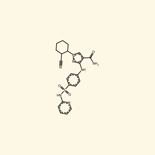 N#CC1CCCCC1n1cc(C(N)=O)c(Nc2ccc(S(=O)(=O)Nc3ccccn3)cc2)n1